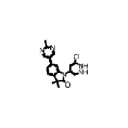 Cc1ncc(-c2ccc3c(c2)N(C2=CNNC(Cl)=C2)C(=O)C3(C)C)cn1